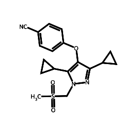 CS(=O)(=O)Cn1nc(C2CC2)c(Oc2ccc(C#N)cc2)c1C1CC1